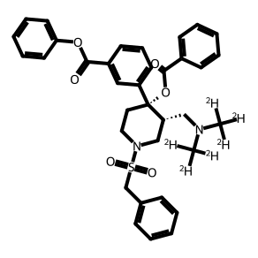 [2H]C([2H])([2H])N(C[C@@H]1CN(S(=O)(=O)Cc2ccccc2)CC[C@@]1(OC(=O)c1ccccc1)c1cccc(C(=O)Oc2ccccc2)c1)C([2H])([2H])[2H]